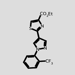 CCOC(=O)c1csc(-c2cnn(-c3ccccc3C(F)(F)F)c2)n1